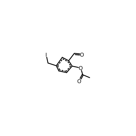 CC(=O)Oc1ccc(CI)cc1C=O